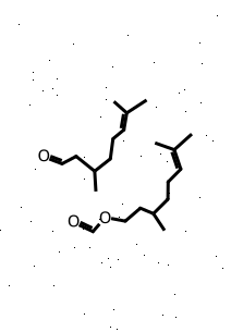 CC(C)=CCCC(C)CC=O.CC(C)=CCCC(C)CCOC=O